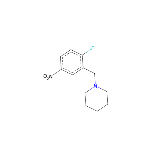 O=[N+]([O-])c1ccc(F)c(CN2CCCCC2)c1